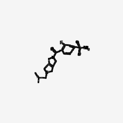 C[C](C)CN1CC2=C(C1)CN(C(=O)c1ccc(S(N)(=O)=O)cc1F)C2